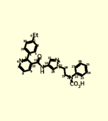 CCc1ccc(-c2ncccc2C(=O)Nc2cnn(CCN(C(=O)O)c3ccccc3)c2)cc1